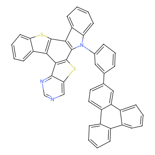 c1cc(-c2ccc3c4ccccc4c4ccccc4c3c2)cc(-n2c3ccccc3c3c4sc5ccccc5c4c4c5ncncc5sc4c32)c1